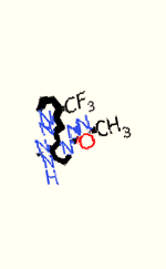 Cc1nnc(N2CCc3[nH]cnc3C2c2cc3c(C(F)(F)F)cccn3n2)o1